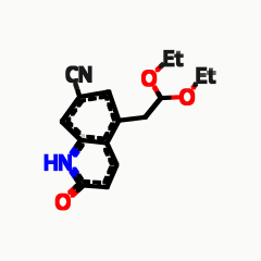 CCOC(Cc1cc(C#N)cc2[nH]c(=O)ccc12)OCC